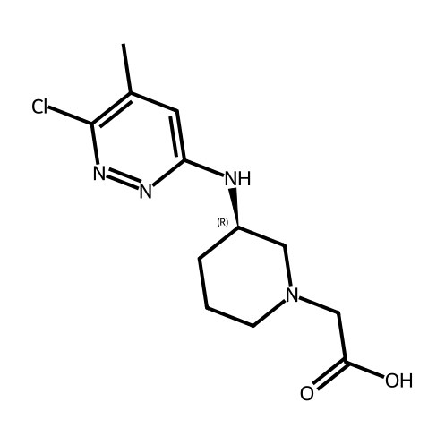 Cc1cc(N[C@@H]2CCCN(CC(=O)O)C2)nnc1Cl